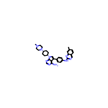 Cc1ccc2cnc(Nc3ccc(-c4cn([C@H]5CC[C@@H](N6CCN(C)CC6)CC5)c5ncnc(N)c45)cc3)nc2c1